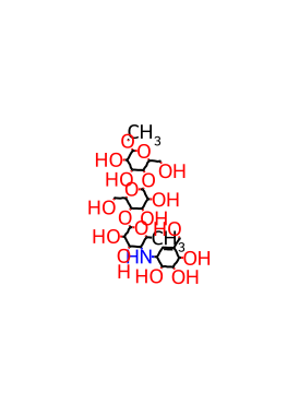 COC1OC(CO)C(OC2OC(CO)C(OC3OC(C)C(NC4C=C(CO)C(O)C(O)C4O)C(O)C3O)C(O)C2O)C(O)C1O